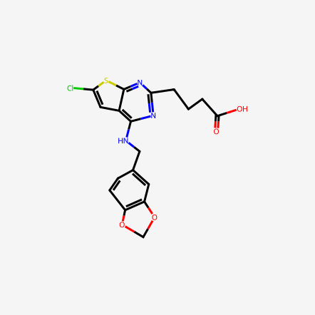 O=C(O)CCCc1nc(NCc2ccc3c(c2)OCO3)c2cc(Cl)sc2n1